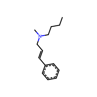 CCCCN(C)CC=Cc1ccccc1